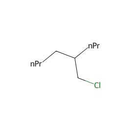 CCCCC(CCl)CCC